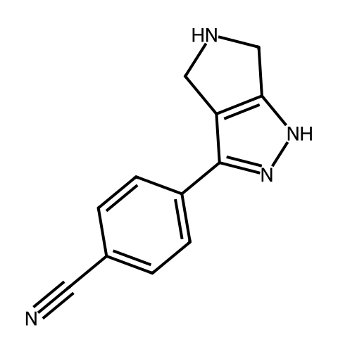 N#Cc1ccc(-c2n[nH]c3c2CNC3)cc1